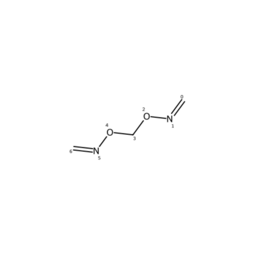 C=NOCON=C